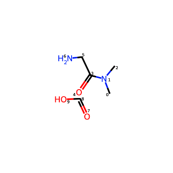 CN(C)C(=O)CN.O=CO